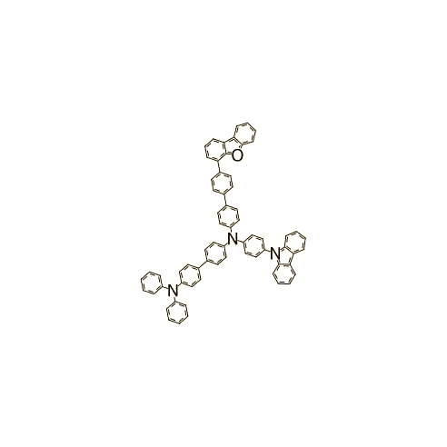 c1ccc(N(c2ccccc2)c2ccc(-c3ccc(N(c4ccc(-c5ccc(-c6cccc7c6oc6ccccc67)cc5)cc4)c4ccc(-n5c6ccccc6c6ccccc65)cc4)cc3)cc2)cc1